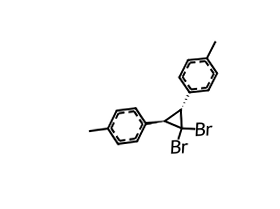 Cc1ccc([C@H]2[C@H](c3ccc(C)cc3)C2(Br)Br)cc1